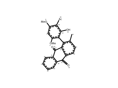 COc1cc(OC)c(-c2c(C)ccc3c2C(=O)c2ccccc2C3=O)c(O)c1C(C)=O